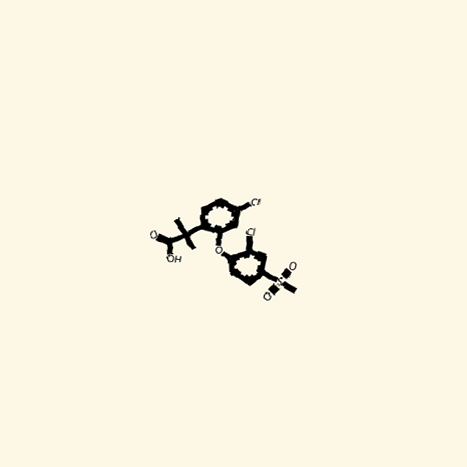 CC(C)(C(=O)O)c1ccc(Cl)cc1Oc1ccc(S(C)(=O)=O)cc1Cl